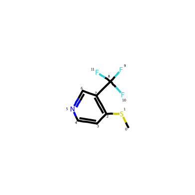 CSc1ccncc1C(F)(F)F